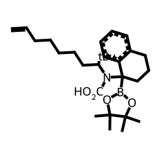 C=CCCCCCC(N(C(=O)O)C1(B2OC(C)(C)C(C)(C)O2)CCCc2ccccc21)C(C)(C)C